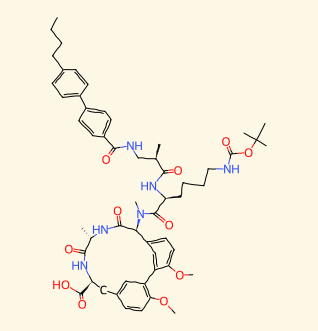 CCCCc1ccc(-c2ccc(C(=O)NC[C@@H](C)C(=O)N[C@@H](CCCCNC(=O)OC(C)(C)C)C(=O)N(C)[C@@H]3C(=O)N[C@@H](C)C(=O)N[C@H](C(=O)O)Cc4ccc(OC)c(c4)-c4cc3ccc4OC)cc2)cc1